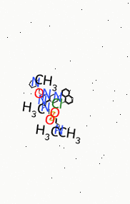 CN(C)C/C=C/S(=O)(=O)CCN(C)c1nc(OC[C@@H]2CCCN2C)nc2c1CCN(c1cccc3cccc(Cl)c13)C2